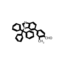 Cc1cc(-c2ccc3ncn(C(c4ccccc4)(c4ccccc4)c4ccccc4)c3c2)ccc1C=O